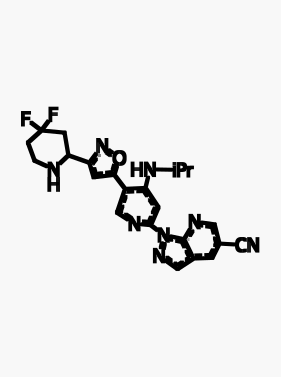 CC(C)Nc1cc(-n2ncc3cc(C#N)cnc32)ncc1-c1cc(C2CC(F)(F)CCN2)no1